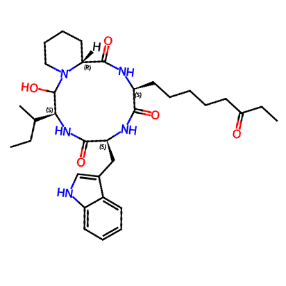 CCC(=O)CCCCC[C@@H]1NC(=O)[C@H]2CCCCN2C(O)[C@H](C(C)CC)NC(=O)[C@H](Cc2c[nH]c3ccccc23)NC1=O